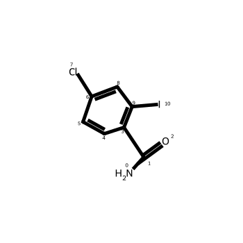 NC(=O)c1ccc(Cl)cc1I